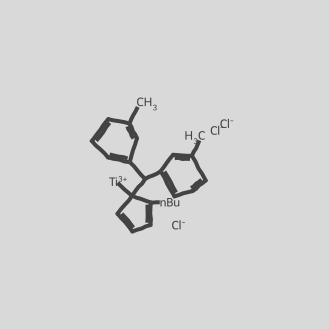 CCCCC1=CC=C[C]1([Ti+3])C(c1cccc(C)c1)c1cccc(C)c1.[Cl-].[Cl-].[Cl-]